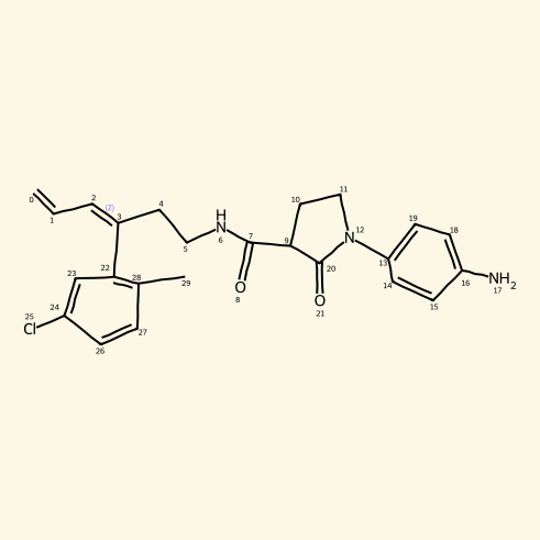 C=C/C=C(/CCNC(=O)C1CCN(c2ccc(N)cc2)C1=O)c1cc(Cl)ccc1C